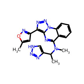 Cc1cc(-c2nnn3c2nc(N(C)C(C)c2c[nH]nn2)c2ccccc23)no1